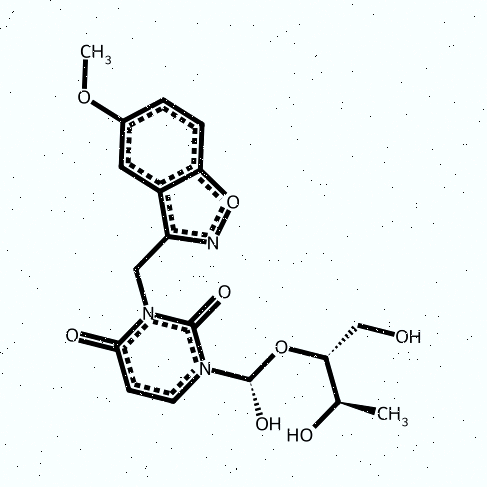 COc1ccc2onc(Cn3c(=O)ccn([C@@H](O)O[C@H](CO)[C@@H](C)O)c3=O)c2c1